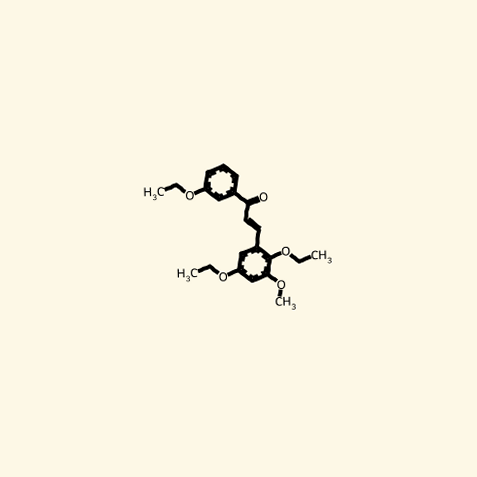 CCOc1cccc(C(=O)C=Cc2cc(OCC)cc(OC)c2OCC)c1